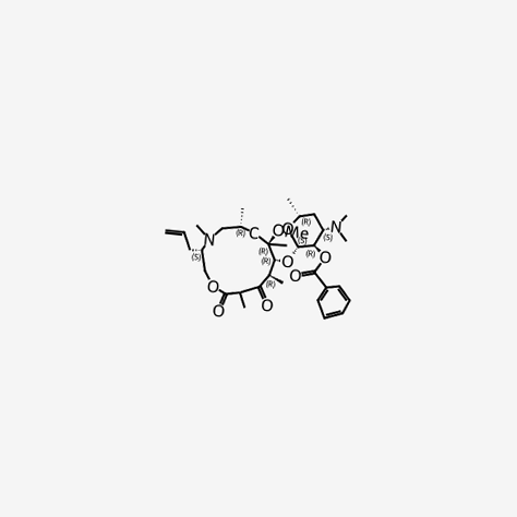 C=CC[C@H]1COC(=O)C(C)C(=O)[C@H](C)[C@@H](O[C@@H]2O[C@H](C)C[C@H](N(C)C)[C@H]2OC(=O)c2ccccc2)[C@](C)(OC)C[C@@H](C)CN1C